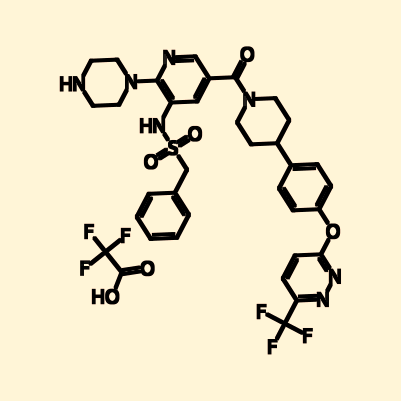 O=C(O)C(F)(F)F.O=C(c1cnc(N2CCNCC2)c(NS(=O)(=O)Cc2ccccc2)c1)N1CCC(c2ccc(Oc3ccc(C(F)(F)F)nn3)cc2)CC1